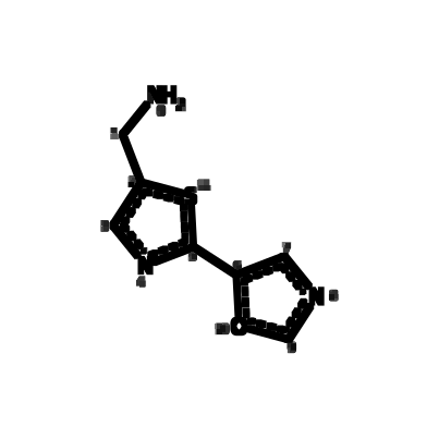 NCc1cnc(-c2cnco2)s1